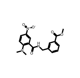 COC(=O)c1cccc(CNC(=O)c2cc([N+](=O)[O-])ccc2N(C)C)c1